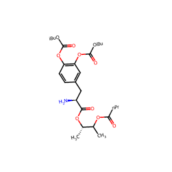 CCCC(=O)OC(C)[C@H](C)OC(=O)[C@@H](N)Cc1ccc(OC(=O)OCC(C)C)c(OC(=O)OCC(C)C)c1